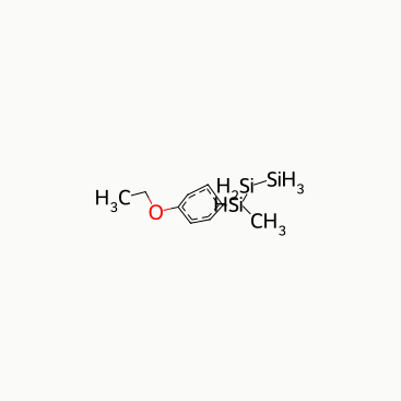 CCOc1ccc([SiH](C)[SiH2][SiH3])cc1